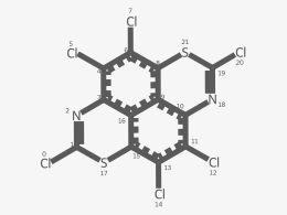 ClC1=Nc2c(Cl)c(Cl)c3c4c(c(Cl)c(Cl)c(c24)S1)N=C(Cl)S3